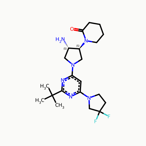 CC(C)(C)c1nc(N2C[C@H](N)[C@@H](N3CCCCC3=O)C2)cc(N2CCC(F)(F)C2)n1